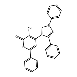 N#Cc1c(-c2cn(-c3ccccc3)nc2-c2ccccc2)cc(-c2ccccc2)[nH]c1=O